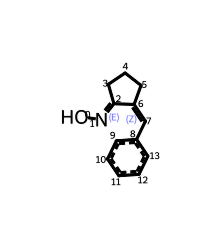 O/N=C1\CCC\C1=C\c1ccccc1